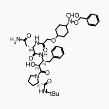 CC(C)(C)NC(=O)[C@@H]1CCCN1C(=O)[C@@H](O)[C@H](Cc1ccccc1)NC(=O)[C@H](CC(N)=O)NC(=O)COC1CCC(N(C=O)OCc2ccccc2)CC1